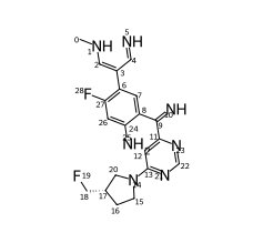 CN/C=C(\C=N)c1cc(C(=N)c2cc(N3CC[C@H](CF)C3)ncn2)c(N)cc1F